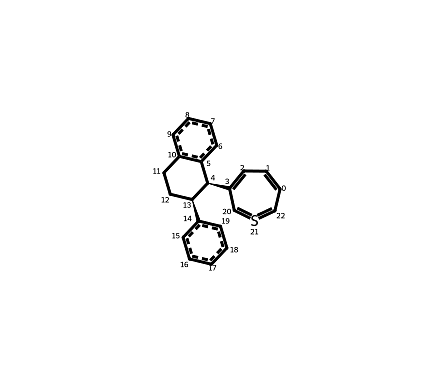 C1=CC=C([C@@H]2c3ccccc3CC[C@@H]2c2ccccc2)C=S=C1